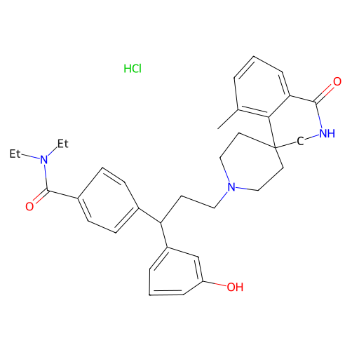 CCN(CC)C(=O)c1ccc(C(CCN2CCC3(CC2)CNC(=O)c2cccc(C)c23)c2cccc(O)c2)cc1.Cl